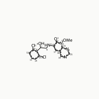 COn1c(=O)c(NCC(O)c2c(Cl)cccc2Cl)cc2cncnc21